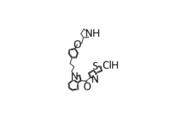 Cl.Cn1c(C(=O)c2cn(CCCc3ccc(OCC4CCNC4)cc3)c3ccccc23)cc2sccc21